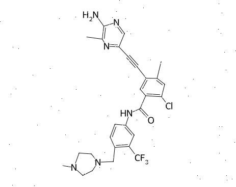 Cc1cc(Cl)c(C(=O)Nc2ccc(CN3CCN(C)CC3)c(C(F)(F)F)c2)cc1C#Cc1cnc(N)c(C)n1